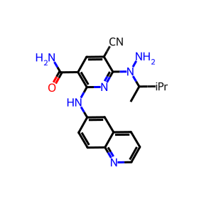 CC(C)C(C)N(N)c1nc(Nc2ccc3ncccc3c2)c(C(N)=O)cc1C#N